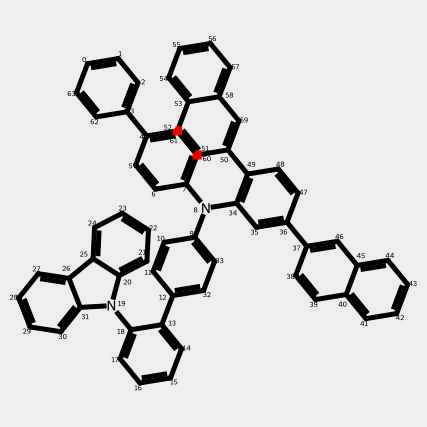 c1ccc(-c2ccc(N(c3ccc(-c4ccccc4-n4c5ccccc5c5ccccc54)cc3)c3cc(-c4ccc5ccccc5c4)ccc3-c3ccc4ccccc4c3)cc2)cc1